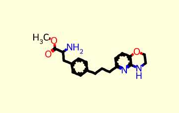 COC(=O)C(N)Cc1ccc(CCCc2ccc3c(n2)NCCO3)cc1